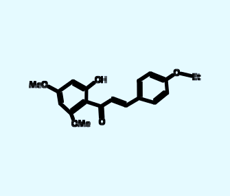 CCOc1ccc(C=CC(=O)c2c(O)cc(OC)cc2OC)cc1